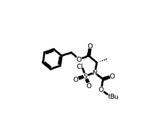 C[C@@H](C(=O)OCc1ccccc1)N(C(=O)OC(C)(C)C)S(=O)(=O)Cl